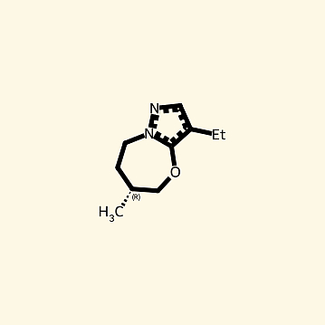 CCc1cnn2c1OC[C@H](C)CC2